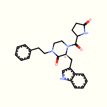 O=C1CCC(C(=O)N2CCN(CCc3ccccc3)C(=O)[C@@H]2Cc2c[nH]c3ccccc23)N1